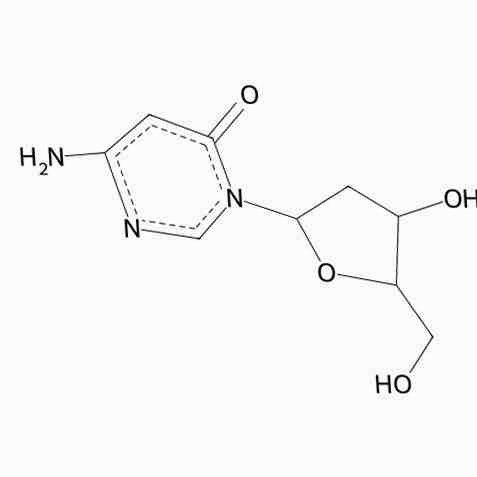 Nc1cc(=O)n(C2CC(O)C(CO)O2)cn1